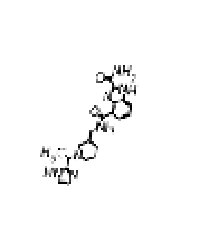 CC(c1ncc[nH]1)N1CCCC(CNC(=O)c2cccc3[nH]c(C(N)=O)nc23)C1